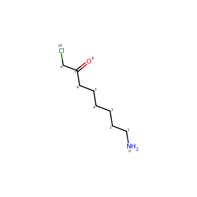 NCCCCCCC(=O)CCl